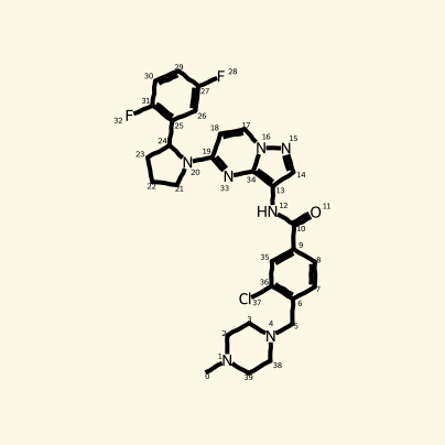 CN1CCN(Cc2ccc(C(=O)Nc3cnn4ccc(N5CCCC5c5cc(F)ccc5F)nc34)cc2Cl)CC1